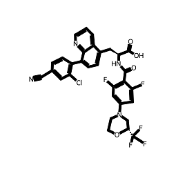 N#Cc1ccc(-c2ccc(C[C@H](NC(=O)c3c(F)cc(N4CCO[C@@H](C(F)(F)F)C4)cc3F)C(=O)O)c3cccnc23)c(Cl)c1